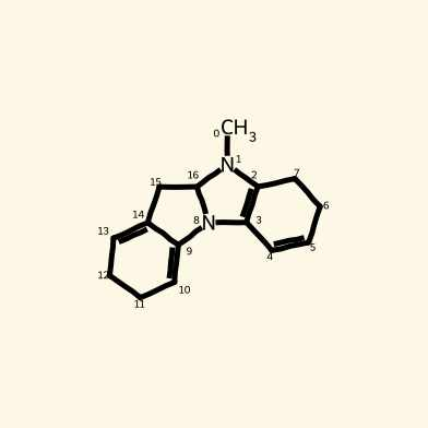 CN1C2=C(C=CCC2)N2C3=CCCC=C3CC12